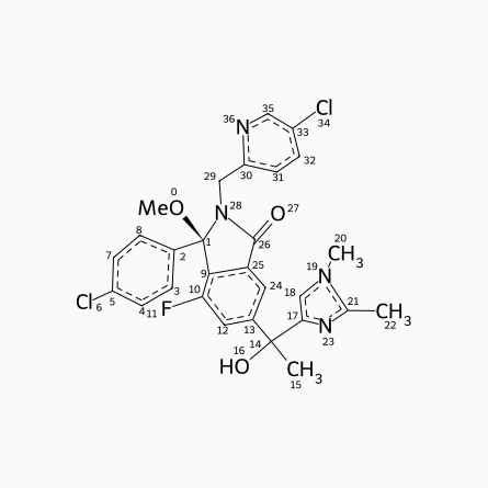 CO[C@]1(c2ccc(Cl)cc2)c2c(F)cc(C(C)(O)c3cn(C)c(C)n3)cc2C(=O)N1Cc1ccc(Cl)cn1